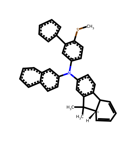 CSc1ccc(N(c2ccc3c(c2)C(C)(C)[C@H]2C=CC=CC32)c2ccc3ccccc3c2)cc1-c1ccccc1